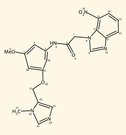 COc1cc(NC(=O)Cn2cnc3cccc([N+](=O)[O-])c32)cc(OCc2cncn2C)c1